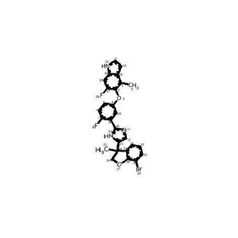 Cc1c(Oc2ccc(F)c(-c3ncc(C4(C)COc5c(Br)cccc54)[nH]3)c2)c(F)cc2[nH]ccc12